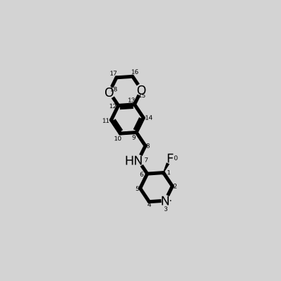 F[C@H]1C[N]CCC1NCc1ccc2c(c1)OCCO2